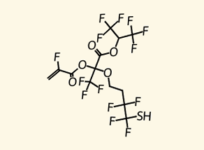 C=C(F)C(=O)OC(OCCC(F)(F)C(F)(F)S)(C(=O)OC(C(F)(F)F)C(F)(F)F)C(F)(F)F